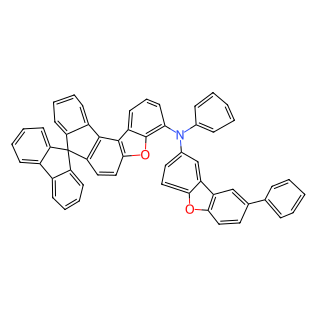 c1ccc(-c2ccc3oc4ccc(N(c5ccccc5)c5cccc6c5oc5ccc7c(c56)-c5ccccc5C75c6ccccc6-c6ccccc65)cc4c3c2)cc1